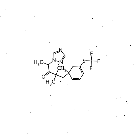 CC(C(=O)C(C)(C)CC1(Cl)C=CC=C(SC(F)(F)F)C1)n1cncn1